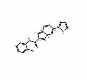 O=C(Nc1ccccc1F)c1cn2cc(-c3ccco3)ccc2n1